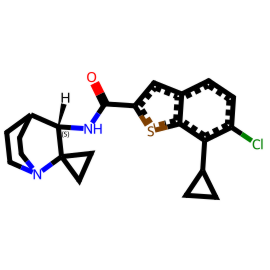 O=C(N[C@H]1C2CCN(CC2)C12CC2)c1cc2ccc(Cl)c(C3CC3)c2s1